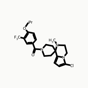 CC(C)Oc1ccc(C(=O)N2CCC3(CC2)c2ccc(Cl)n2CCN3C)cc1C(F)(F)F